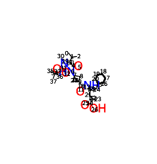 CC(C)[C@@H](C(=O)NC12CC(C(=O)N[C@@H](Cc3ccccc3)C[C@H](C)C(=O)O)(C1)C2)N(C)C(=O)OC(C)(C)C